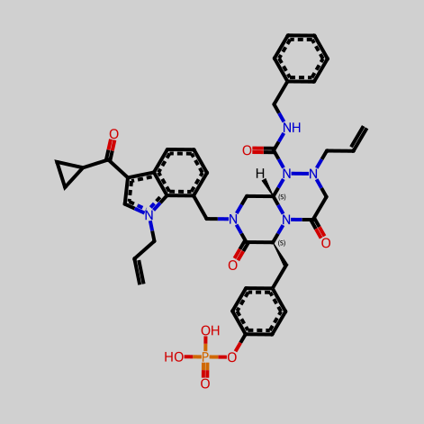 C=CCN1CC(=O)N2[C@@H](Cc3ccc(OP(=O)(O)O)cc3)C(=O)N(Cc3cccc4c(C(=O)C5CC5)cn(CC=C)c34)C[C@@H]2N1C(=O)NCc1ccccc1